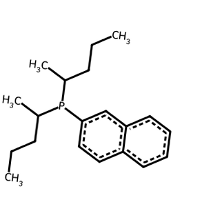 CCCC(C)P(c1ccc2ccccc2c1)C(C)CCC